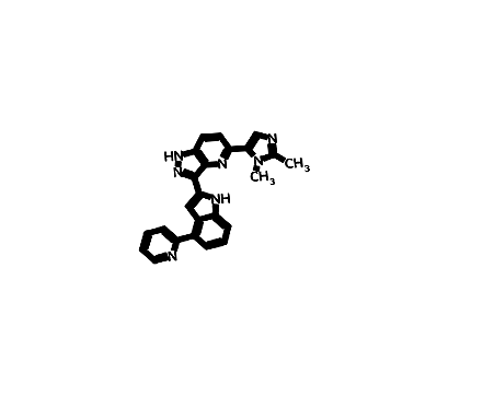 Cc1ncc(-c2ccc3[nH]nc(-c4cc5c(-c6ccccn6)cccc5[nH]4)c3n2)n1C